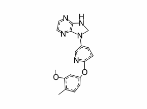 COc1cc(Oc2ccc(N3CNc4nccnc43)cn2)ccc1C